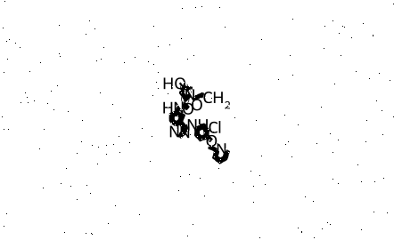 C=CC(=O)N1C[C@H](O)C[C@H]1C(=O)Nc1ccc2ncnc(Nc3ccc(OCc4ccccn4)c(Cl)c3)c2c1